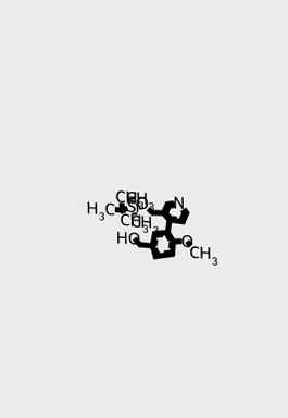 COc1ccc(CO)cc1-c1ccncc1CO[Si](C)(C)C(C)(C)C